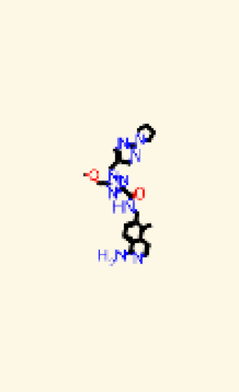 COCc1nc(C(=O)NCc2ccc3c(N)nccc3c2C)nn1Cc1cnc(N2CCCC2)nc1